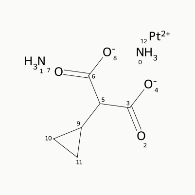 N.N.O=C([O-])C(C(=O)[O-])C1CC1.[Pt+2]